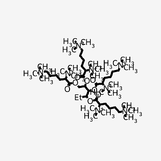 CCC(OC(=O)C(CCCC[N+](C)(C)C)[N+](C)(C)C)C(OC(=O)C(CCCC[N+](C)(C)C)[N+](C)(C)C)C(COC(=O)C(CCCC[N+](C)(C)C)[N+](C)(C)C)OC(=O)C(CCCC[N+](C)(C)C)[N+](C)(C)C